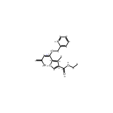 C=C(Br)/C=C(/OCc1ccccn1)c1occ(C(=O)OCC)c1C